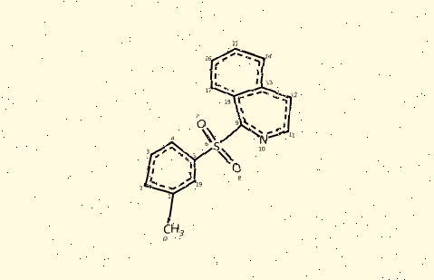 Cc1cccc(S(=O)(=O)c2nccc3ccccc23)c1